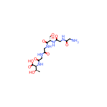 C[C@@H](O)[C@H](NC(=O)CNC(=O)CNC(=O)[C@H](CO)NC(=O)CNC(=O)CN)C(=O)O